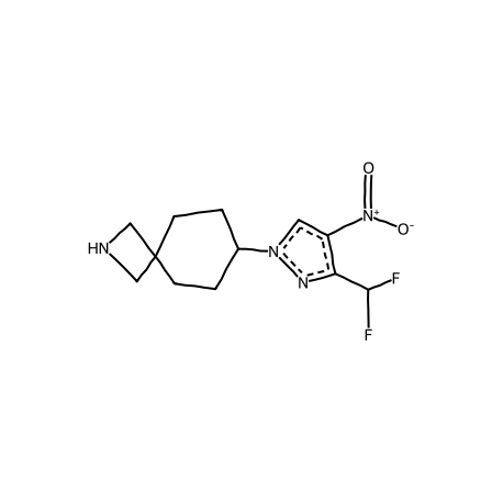 O=[N+]([O-])c1cn(C2CCC3(CC2)CNC3)nc1C(F)F